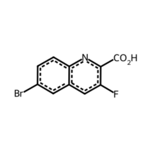 O=C(O)c1nc2ccc(Br)cc2cc1F